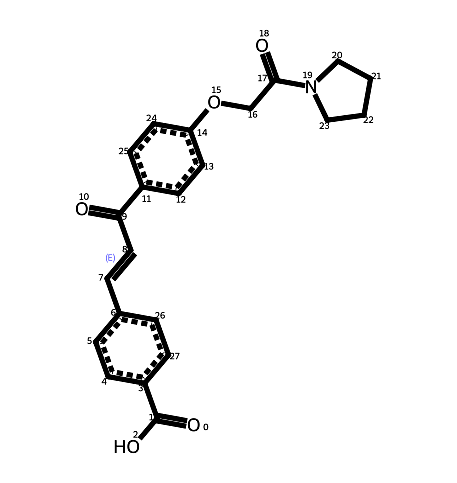 O=C(O)c1ccc(/C=C/C(=O)c2ccc(OCC(=O)N3CCCC3)cc2)cc1